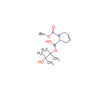 CC(C)(C)OC(=O)N1CC=CCC1B(O)OC(C)(C)C(C)(C)O